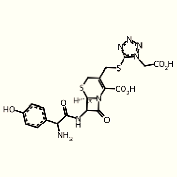 NC(C(=O)NC1C(=O)N2C(C(=O)O)=C(CSc3nnnn3CC(=O)O)CS[C@H]12)c1ccc(O)cc1